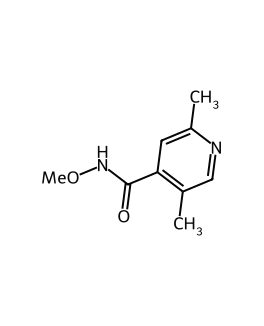 CONC(=O)c1cc(C)ncc1C